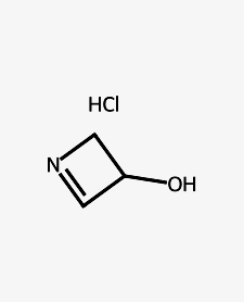 Cl.OC1C=NC1